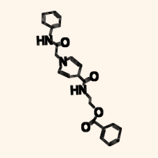 O=C(CN1C=CC(C(=O)NCCOC(=O)c2ccccc2)C=C1)Nc1ccccc1